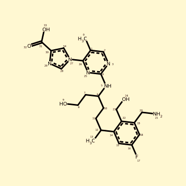 Cc1cnc(NC(CCO)CCC(C)c2cc(F)cc(CN)c2CO)nc1-n1cnc(C(=O)O)c1